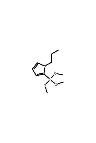 CCCn1cccc1[Si](OC)(OC)OC